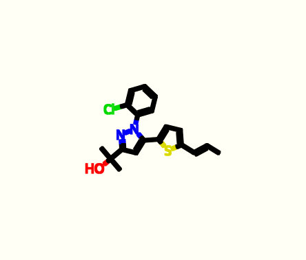 C/C=C/c1ccc(-c2cc(C(C)(C)O)nn2-c2ccccc2Cl)s1